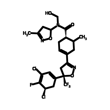 CC1=NOC(N(CO)C(=O)[C@H]2CC=C(C3=NO[C@@](C4=CC(Cl)=C(F)[C@H](Cl)C4)(C(F)(F)F)C3)CC2C)C1